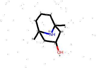 CC12CCCC(C)(CC(O)C1)N2